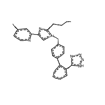 CCCCc1nc(-c2cc(C)ccn2)cn1Cc1ccc(-c2ccccc2-c2nnn[nH]2)cc1